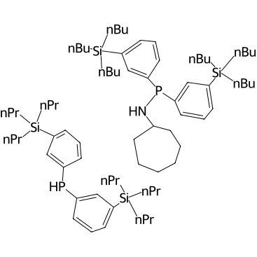 CCCC[Si](CCCC)(CCCC)c1cccc(P(NC2CCCCCC2)c2cccc([Si](CCCC)(CCCC)CCCC)c2)c1.CCC[Si](CCC)(CCC)c1cccc(Pc2cccc([Si](CCC)(CCC)CCC)c2)c1